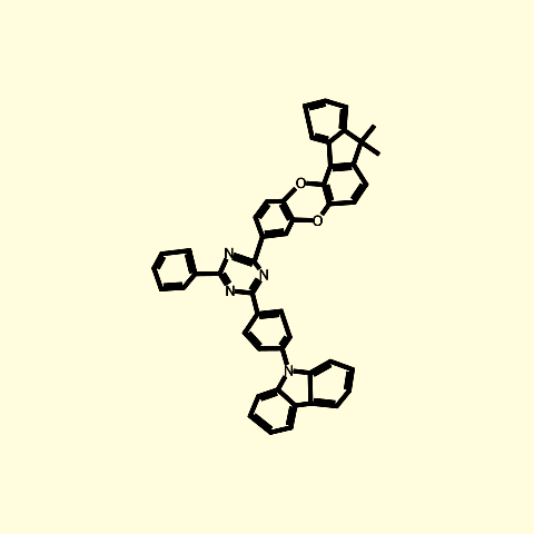 CC1(C)c2ccccc2-c2c1ccc1c2Oc2ccc(-c3nc(-c4ccccc4)nc(-c4ccc(-n5c6ccccc6c6ccccc65)cc4)n3)cc2O1